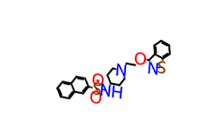 O=S(=O)(NC1CCN(CCOc2nsc3ccccc23)CC1)c1ccc2ccccc2c1